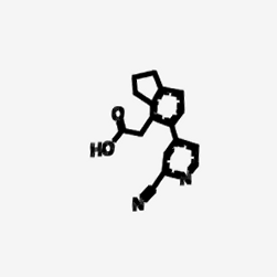 N#Cc1cc(-c2ccc3c(c2CC(=O)O)CCC3)ccn1